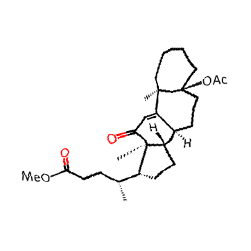 COC(=O)CC[C@@H](C)[C@H]1CC[C@H]2[C@@H]3CC[C@@]4(OC(C)=O)CCCC[C@]4(C)C3=CC(=O)[C@]12C